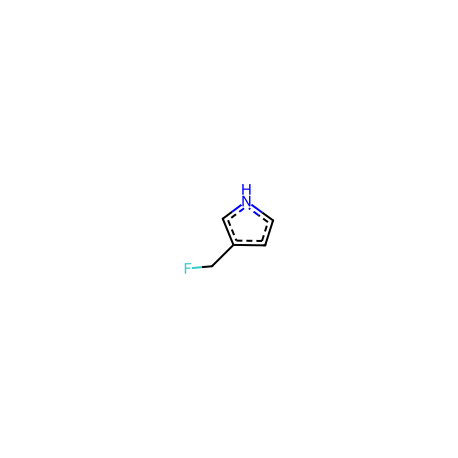 FCc1cc[nH]c1